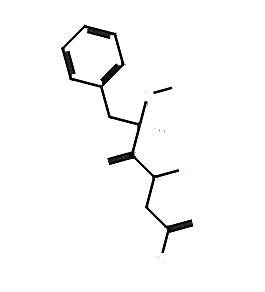 NC(=O)CC(N)C(=O)[C@@](Cc1ccccc1)(NC=O)C(=O)O